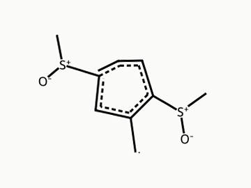 [CH2]c1cc([S+](C)[O-])ccc1[S+](C)[O-]